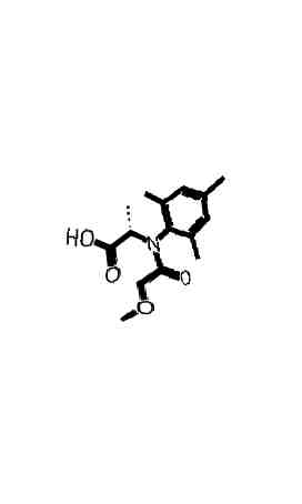 COCC(=O)N(c1c(C)cc(C)cc1C)[C@@H](C)C(=O)O